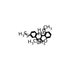 COc1cccc2c1[C@H]1Nc3ccc(SC)cc3C(C)(C)[C@H]1CO2